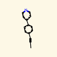 CC#Cc1ccc(-c2ccncc2)cc1